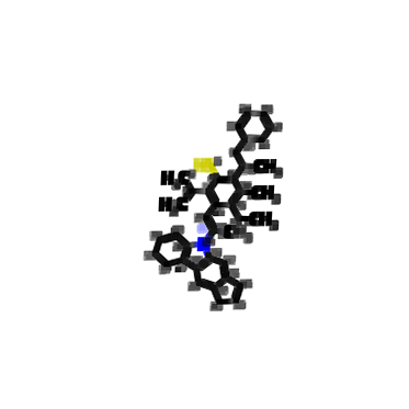 C=C(C)c1c(S)c(C(C)Cc2ccccc2)c(C)c(CC)c1/C=C(\C)n1c2c(c3cc4c(cc31)C=CC4)CCC=C2